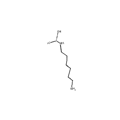 NCCCCCCNP(O)O